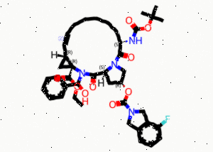 CCOC(=O)[C@@]12C[C@@H]1/C=C\CCCCC[C@H](NC(=O)OC(C)(C)C)C(=O)N1C[C@H](OC(=O)N3Cc4cccc(F)c4C3)C[C@H]1C(=O)N2C(O)c1ccccc1